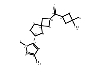 Cn1nc(C(F)(F)F)cc1[C@@H]1CCC2(C1)CN(C(=O)C1CC(C)(O)C1)C2